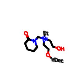 CCCCCCCCCCOCC[N+](CC)(CCO)CN1CCCCC1=O